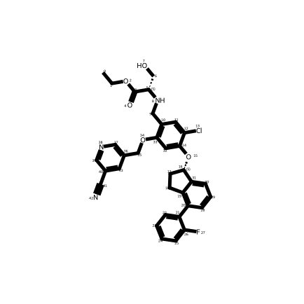 CCOC(=O)[C@H](CO)NCc1cc(Cl)c(O[C@H]2CCc3c(-c4ccccc4F)cccc32)cc1OCc1cncc(C#N)c1